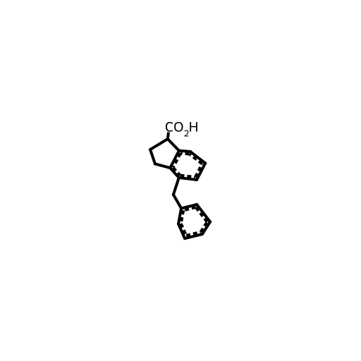 O=C(O)C1CCc2c(Cc3ccccc3)cccc21